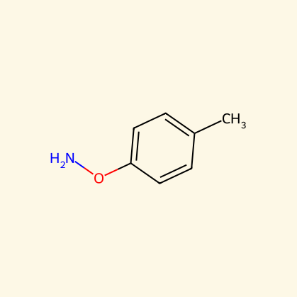 Cc1ccc(ON)cc1